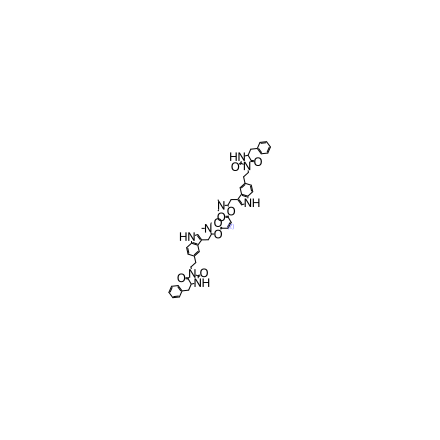 CN(C)C(Cc1c[nH]c2ccc(CCN3C(=O)NC(Cc4ccccc4)C3=O)cc12)OC(=O)/C=C\C(=O)OC(Cc1c[nH]c2ccc(CCN3C(=O)NC(Cc4ccccc4)C3=O)cc12)N(C)C